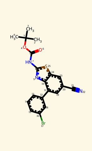 CC(C)(C)OC(=O)Nc1nc2c(-c3cccc(Br)c3)cc(C#N)cc2s1